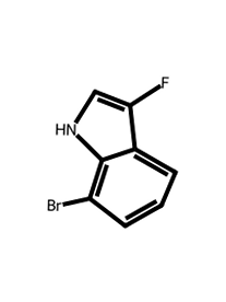 Fc1c[nH]c2c(Br)cccc12